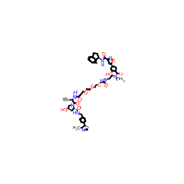 Cc1ncsc1-c1ccc(CNC(=O)[C@@H]2C[C@@H](O)CN2C(=O)C(NC(=O)COCCOCCOCC(=O)NCCN(C)C(=O)c2ccc(-c3cc(C(=O)N[C@@H]4CCc5ccccc54)no3)cc2O)C(C)(C)C)cc1